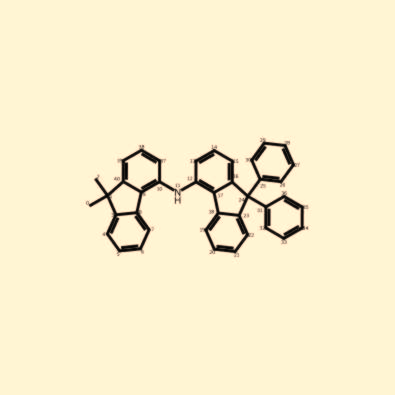 CC1(C)c2ccccc2-c2c(Nc3cccc4c3-c3ccccc3C4(c3ccccc3)c3ccccc3)cccc21